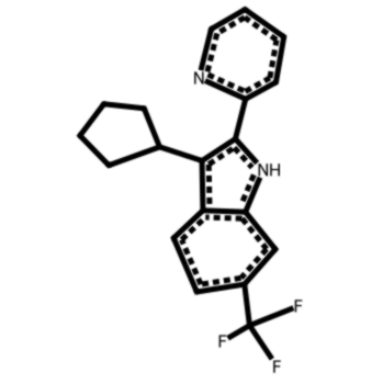 FC(F)(F)c1ccc2c(C3CCCC3)c(-c3ccccn3)[nH]c2c1